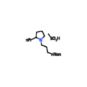 CCCCCCCCCCCCN1CCCC1CCC.CS(=O)(=O)O